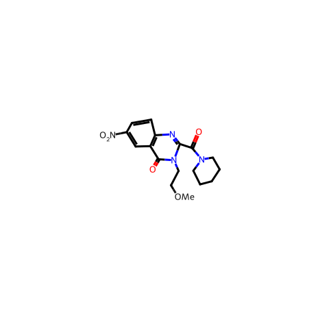 COCCn1c(C(=O)N2CCCCC2)nc2ccc([N+](=O)[O-])cc2c1=O